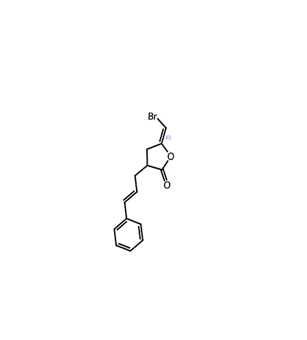 O=C1O/C(=C/Br)CC1CC=Cc1ccccc1